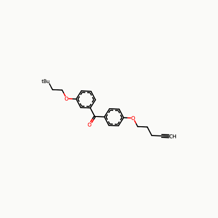 C#CCCCOc1ccc(C(=O)c2cccc(OCCC(C)(C)C)c2)cc1